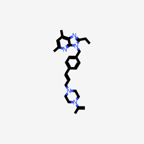 C=C(C)N1CCN(C/C=C/c2ccc(Cn3c(CC)nc4c(C)cc(C)nc43)cc2)CC1